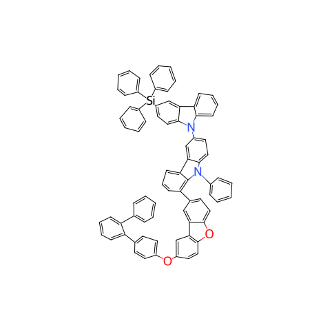 c1ccc(-c2ccccc2-c2ccc(Oc3ccc4oc5ccc(-c6cccc7c8cc(-n9c%10ccccc%10c%10cc([Si](c%11ccccc%11)(c%11ccccc%11)c%11ccccc%11)ccc%109)ccc8n(-c8ccccc8)c67)cc5c4c3)cc2)cc1